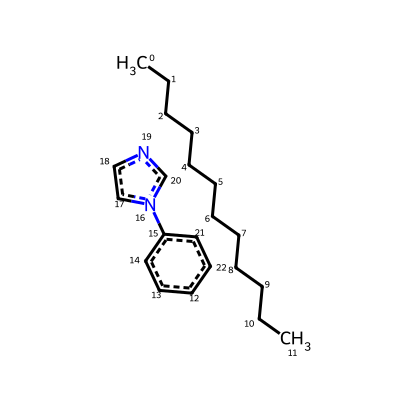 CCCCCCCCCCCC.c1ccc(-n2ccnc2)cc1